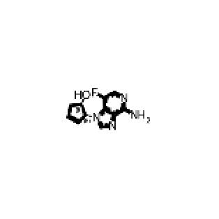 Nc1ncc(F)c2c1ncn2[C@@H]1C=CC[C@H]1O